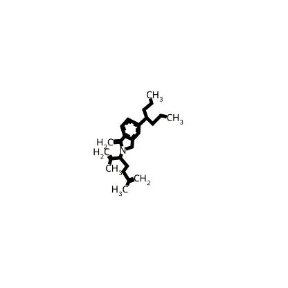 C=C(C)CCC(C(=C)C)N1Cc2cc(C(CCC)CCC)ccc2C1=C